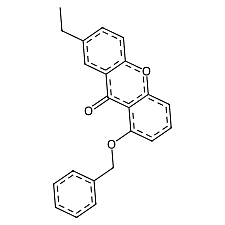 CCc1ccc2oc3cccc(OCc4ccccc4)c3c(=O)c2c1